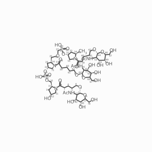 CC(=O)NC1[C@H](OCCCCC(=O)N2C[C@H](O)C[C@H]2COP(=O)(O)O[C@@H]2C[C@@H](COCP(=O)(O)O[C@@H]3C[C@@H](C)N(C(=O)CCCCO[C@@H]4OC(CO)[C@H](O)[C@H](O)C4NC(C)=O)C3)N(C(=O)CCCCO[C@@H]3OC(CO)[C@H](O)[C@H](O)C3NC(C)=O)C2)OC(CO)[C@H](O)[C@@H]1O